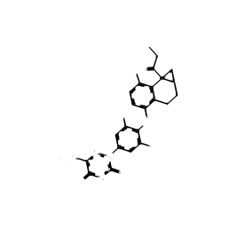 CCC(=O)C12CC1CCc1c(Oc3c(Cl)cc(-n4nc(N)c(=O)[nH]c4=O)cc3Cl)ccc(C)c12